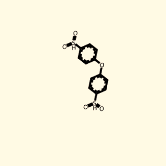 O=[SH](=O)c1ccc(Oc2ccc([SH](=O)=O)cc2)cc1